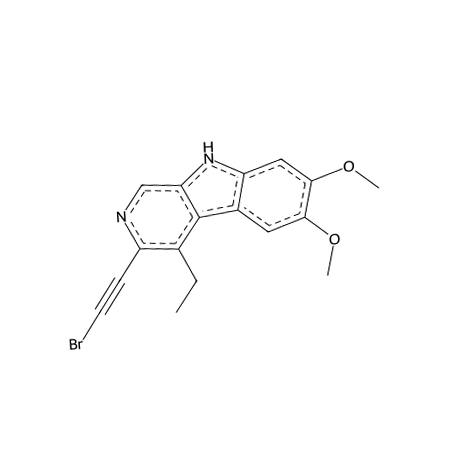 CCc1c(C#CBr)ncc2[nH]c3cc(OC)c(OC)cc3c12